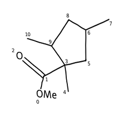 COC(=O)C1(C)CC(C)CC1C